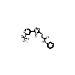 CCn1c(SCC(=O)Nc2ccccc2)nnc1-c1ccnc(S(C)(=O)=O)c1